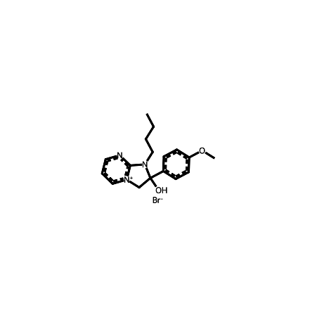 CCCCN1c2nccc[n+]2CC1(O)c1ccc(OC)cc1.[Br-]